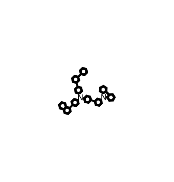 c1ccc(-c2cccc(-c3ccc(N(c4ccc(-c5cccc(-n6c7ccccc7c7ccccc76)c5)cc4)c4ccc(-c5cccc6ccccc56)cc4)cc3)c2)cc1